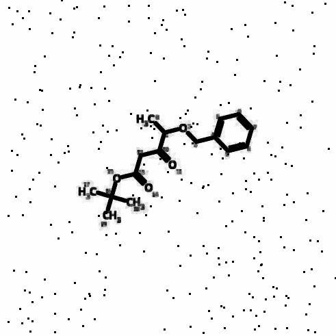 CC(OCc1ccccc1)C(=O)CC(=O)OC(C)(C)C